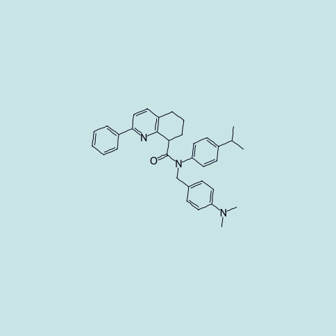 CC(C)c1ccc(N(Cc2ccc(N(C)C)cc2)C(=O)C2CCCc3ccc(-c4ccccc4)nc32)cc1